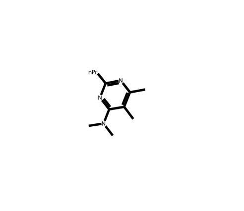 CCCc1nc(C)c(C)c(N(C)C)n1